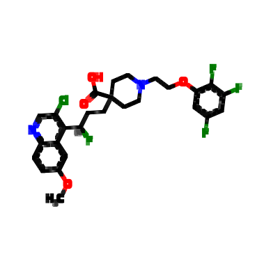 COc1ccc2ncc(Cl)c([C@H](F)CCC3(C(=O)O)CCN(CCOc4cc(F)cc(F)c4F)CC3)c2c1